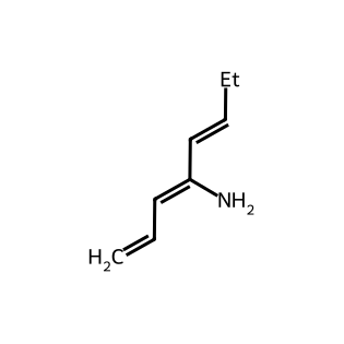 C=CC=C(N)C=CCC